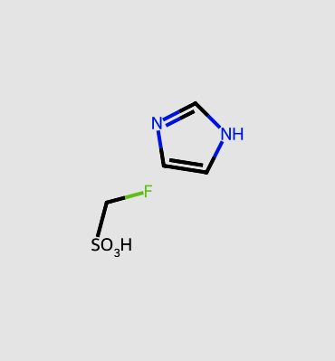 O=S(=O)(O)CF.c1c[nH]cn1